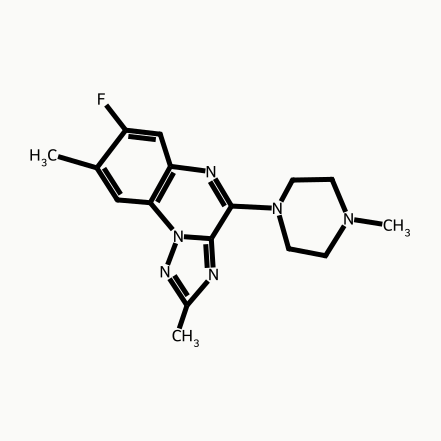 Cc1nc2c(N3CCN(C)CC3)nc3cc(F)c(C)cc3n2n1